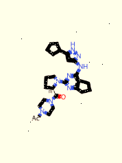 CC(=O)N1CCN(C(=O)[C@@H]2CCCN2c2nc3c(c(Nc4cc(C5CCCC5)[nH]n4)n2)CCC3)CC1